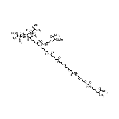 CN[C@@H](CCCCNC(=O)[C@H](CCCCNC(=O)CCCC(=O)NCCOCCOCC(=O)NCCOCCOCC(=O)NCCCC[C@H](C)C(N)=O)CC(=O)CCCC(=O)NC(CNC(C)(C)/C(C)=N/O)CNC(C)(C)/C(C)=N/O)C(N)=O